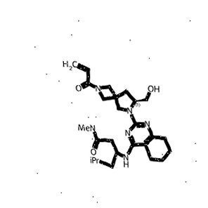 C=CC(=O)N1CC2(C[C@@H](CO)N(c3nc4c(c(NC(CC(=O)NC)CC(C)C)n3)CCCC4)C2)C1